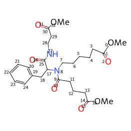 COC(=O)CCCCCN(C(=O)CCCC(=O)OC)C(Cc1ccccc1)C(=O)NCCC(=O)OC